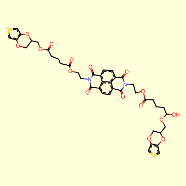 O=C(CCCC(=O)OCC1COc2cscc2O1)OCCN1C(=O)c2ccc3c4c(ccc(c24)C1=O)C(=O)N(CCOC(=O)CCCC(O)OCC1COc2cscc2O1)C3=O